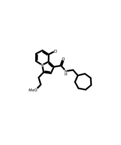 COCCc1cc(C(=O)NCC2CCCCCC2)c2c(Cl)cccn12